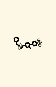 Cc1cc(-c2coc(Cc3ccccc3)n2)ccc1-c1ccc(S(C)(=O)=O)cc1